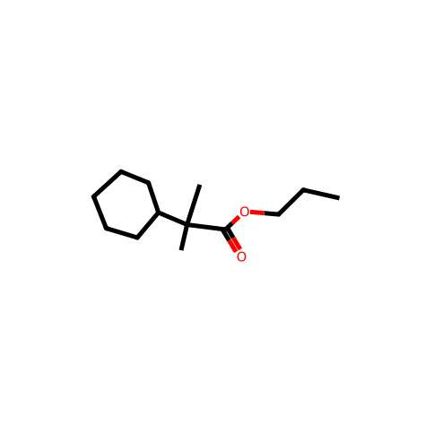 CCCOC(=O)C(C)(C)C1CCCCC1